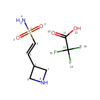 NS(=O)(=O)/C=C/C1CNC1.O=C(O)C(F)(F)F